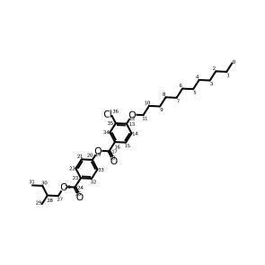 CCCCCCCCCCCCOc1ccc(C(=O)Oc2ccc(C(=O)OCC(C)CC)cc2)cc1Cl